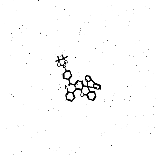 CC1(C)OB(c2ccc(-c3nc4ccccc4c4c5c(ccc34)C3(c4ccccc4O5)c4ccccc4-c4ccccc43)cc2)OC1(C)C